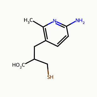 Cc1nc(N)ccc1CC(CS)C(=O)O